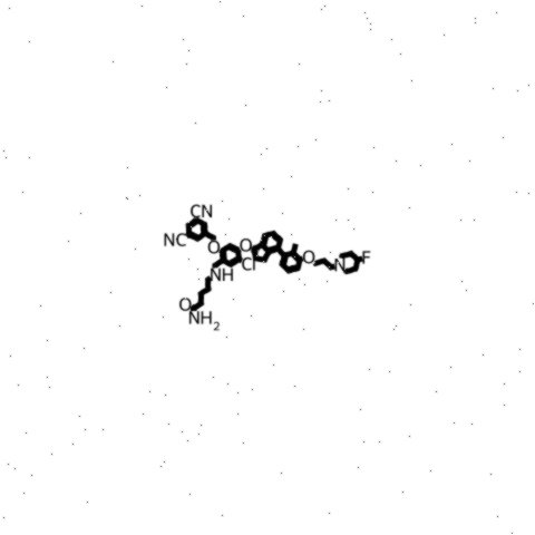 Cc1c(OCCCN2CCC(F)CC2)cccc1-c1cccc2c1CC[C@@H]2Oc1cc(OCc2cc(C#N)cc(C#N)c2)c(CNCCCCC(N)=O)cc1Cl